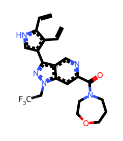 C=Cc1[nH]cc(-c2nn(CC(F)(F)F)c3cc(C(=O)N4CCCOCC4)ncc23)c1C=C